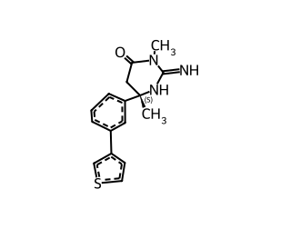 CN1C(=N)N[C@](C)(c2cccc(-c3ccsc3)c2)CC1=O